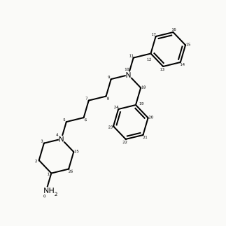 NC1CCN(CCCCCN(Cc2ccccc2)Cc2ccccc2)CC1